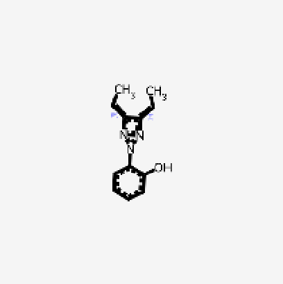 C/C=c1\c(=C/C)n2n(-c3ccccc3O)n12